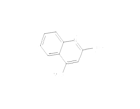 COc1cc(C=O)nc2ccccc12